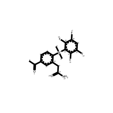 CC(=O)c1ccc([N+](C)(C)c2c(F)c(F)cc(F)c2F)c(CC(N)=O)c1